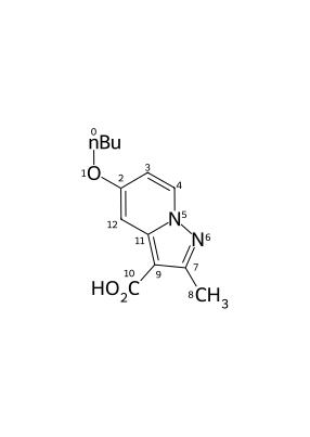 CCCCOc1ccn2nc(C)c(C(=O)O)c2c1